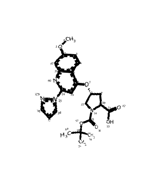 COc1ccc2c(O[C@@H]3CC(C(=O)O)N(C(=O)OC(C)(C)C)C3)cc(-n3cccn3)nc2c1